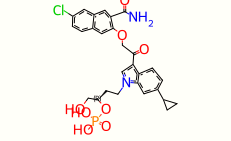 NC(=O)c1cc2cc(Cl)ccc2cc1OCC(=O)c1cn(CC[C@H](CO)OP(=O)(O)O)c2cc(C3CC3)ccc12